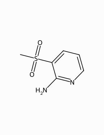 CS(=O)(=O)c1cccnc1N